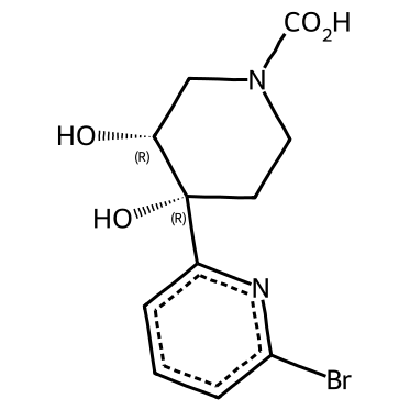 O=C(O)N1CC[C@@](O)(c2cccc(Br)n2)[C@H](O)C1